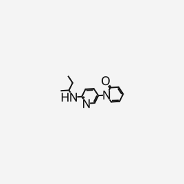 CCC(C)Nc1ccc(-n2ccccc2=O)cn1